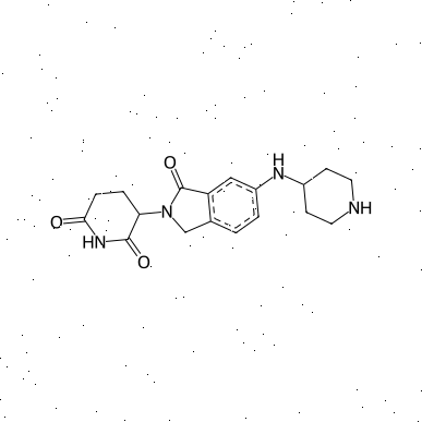 O=C1CCC(N2Cc3ccc(NC4CCNCC4)cc3C2=O)C(=O)N1